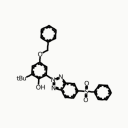 CC(C)(C)c1cc(OCc2ccccc2)cc(-n2nc3ccc(S(=O)(=O)c4ccccc4)cc3n2)c1O